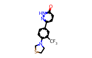 O=c1ccc(-c2ccc(N3CCSC3)c(C(F)(F)F)c2)n[nH]1